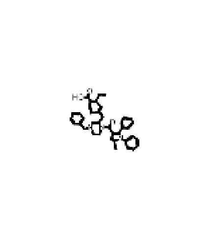 CCc1cc(CC2CN(Cc3ccccc3)CCN2C(=O)c2cc(C)n(-c3ccccc3)c2-c2ccccc2)ccc1C(=O)O